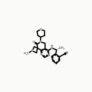 C[C@@H](Nc1ncnc2c1CN(C1CCOCC1)C(=O)C21CN(C)C1)c1ccccc1C#N